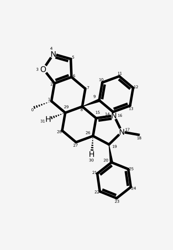 C[C@@H]1c2oncc2C[C@]2(c3ccccc3)C3=NN(C)[C@@H](c4ccccc4)[C@H]3CC[C@@H]12